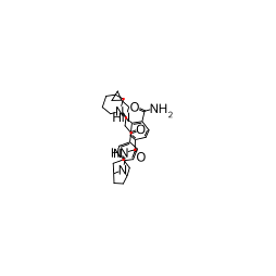 NC(=O)c1ccc(C(=O)NC2CC3CCC(C2)N3c2ccc(C(=O)CCN3CCCCC3)cn2)cc1NCC1CC1